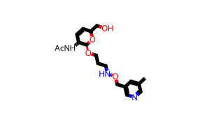 CC(=O)NC1C=CC(CO)O[C@H]1OCCCNOCc1cncc(C)c1